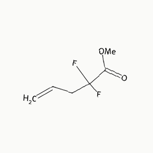 C=CCC(F)(F)C(=O)OC